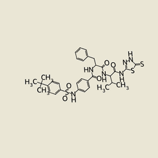 CC(C)C(NC(=O)C(Cc1ccccc1)NC(=O)c1ccc(NS(=O)(=O)c2ccc(C(C)(C)C)cc2)cc1)C(=O)Nc1n[nH]c(=S)s1